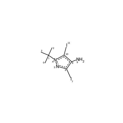 CC(C)(C)n1nc(I)c(N)c1I